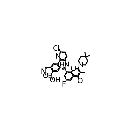 Cc1c(N2CCC(C)(C)CC2)oc2c([C@@H](C)Nc3ccc(Cl)nc3-c3ccc4c(c3)C=NOB4O)cc(F)cc2c1=O